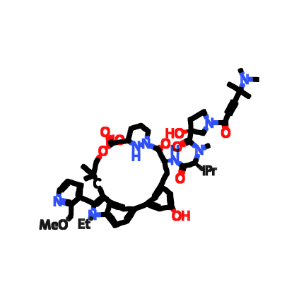 CCn1c(-c2cccnc2COC)c2c3cc(ccc31)-c1cc(O)cc(c1)C[C@H](NC(=O)[C@H](C(C)C)N(C)C(=O)[C@]1(O)CCN(C(=O)C#CC(C)(C)N(C)C)C1)C(=O)N1CCC[C@@](O)(N1)C(=O)OCC(C)(C)C2